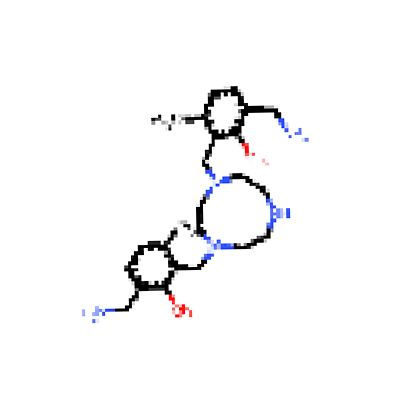 Cc1ccc(CN)c(O)c1CN1CCNCCN(Cc2c(C)ccc(CN)c2O)CC1